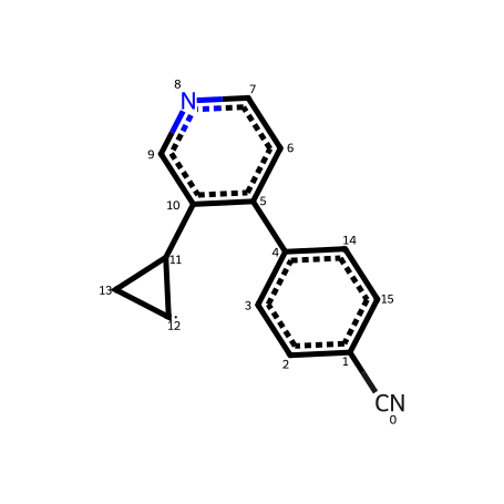 N#Cc1ccc(-c2ccncc2C2[CH]C2)cc1